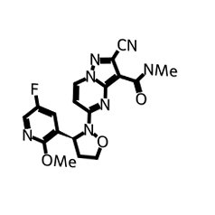 CNC(=O)c1c(C#N)nn2ccc(N3OCC[C@H]3c3cc(F)cnc3OC)nc12